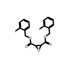 O=C(OCc1ccccc1I)C1OC1C(=O)OCc1ccccc1I